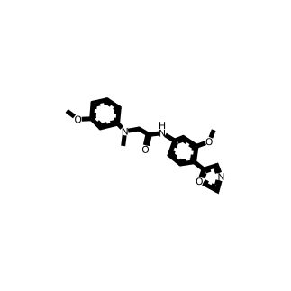 COc1cccc(N(C)CC(=O)Nc2ccc(-c3cnco3)c(OC)c2)c1